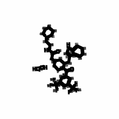 Cl.Cl.O=C(CN1CCN(C(=O)c2cc(C(F)(F)F)cc(C(F)(F)F)c2)C(Cc2c[nH]c3ccccc23)C1)NCCN1CCCCC1